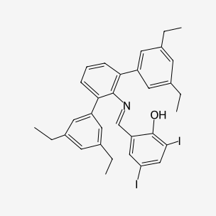 CCc1cc(CC)cc(-c2cccc(-c3cc(CC)cc(CC)c3)c2N=Cc2cc(I)cc(I)c2O)c1